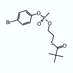 CC(C)(C)C(=O)SCCOP(C)(=O)Oc1ccc(Br)cc1